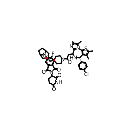 Cc1sc2c(c1C)[C@H](c1ccc(Cl)cc1)NC(CC(=O)N1CCC(CN3CC4CCC(C3)N4c3cc4c(cc3F)C(=O)N(C3CCC(=O)NC3=O)C4=O)CC1)c1nnc(C)n1-2